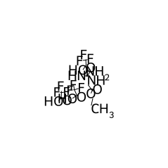 CCCOC(=O)CNC(=N)N.O=C(O)C(F)(F)F.O=C(O)C(F)(F)F.O=C(O)C(F)(F)F